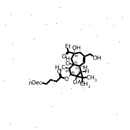 CCCCCCCCCCCCCC(=O)O[C@@H]1[C@@H](C)[C@]2(O)C[C@@](O)(C(=O)CC)CC(CO)=C[C@H]2[C@@H]2C(C)(C)[C@]12OC(C)=O